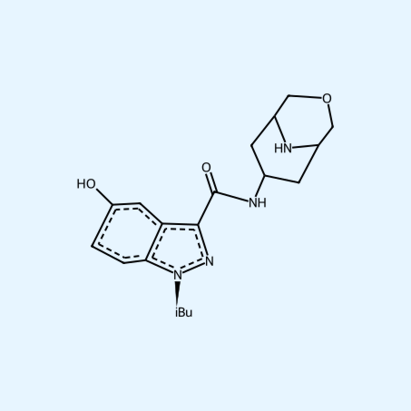 CC[C@H](C)n1nc(C(=O)NC2CC3COCC(C2)N3)c2cc(O)ccc21